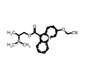 CC(COC(=O)c1c2ccccc2n2cc(OCC#N)ccc12)N(C)C